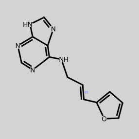 C(=C\c1ccco1)/CNc1ncnc2[nH]cnc12